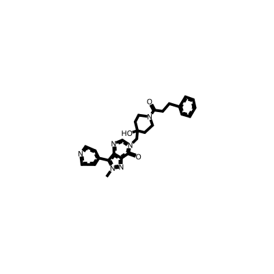 Cn1nc2c(=O)n(CC3(O)CCN(C(=O)CCc4ccccc4)CC3)cnc2c1-c1ccncc1